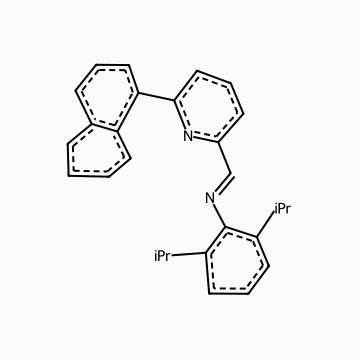 CC(C)c1cccc(C(C)C)c1N=Cc1cccc(-c2cccc3ccccc23)n1